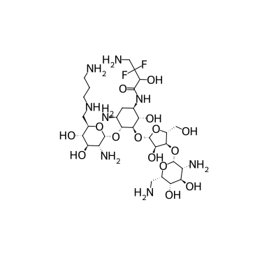 NCCCNC[C@H]1O[C@H](O[C@H]2[C@H](O[C@@H]3O[C@H](CO)[C@@H](O[C@H]4O[C@@H](CN)[C@@H](O)[C@H](O)[C@H]4N)[C@H]3O)[C@@H](O)[C@H](NC(=O)C(O)C(F)(F)CN)C[C@@H]2N)[C@H](N)[C@@H](O)[C@@H]1O